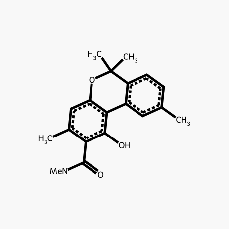 CNC(=O)c1c(C)cc2c(c1O)-c1cc(C)ccc1C(C)(C)O2